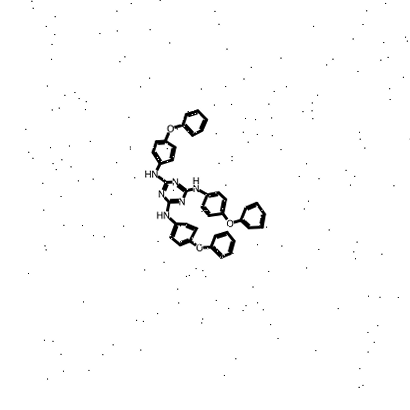 c1ccc(Oc2ccc(Nc3nc(Nc4ccc(Oc5ccccc5)cc4)nc(Nc4ccc(Oc5ccccc5)cc4)n3)cc2)cc1